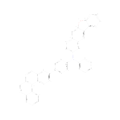 c1ccc(N(c2ccc(-c3ccc4c(ccc5ccc6ccccc6c54)c3)cc2)c2ccc3cc4oc5ccccc5c4cc3c2)cc1